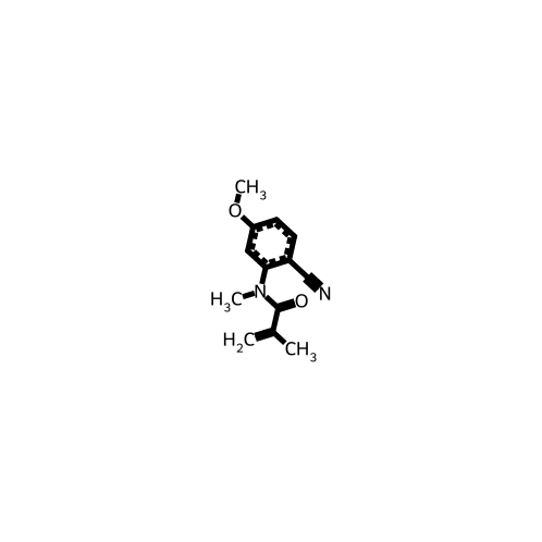 C=C(C)C(=O)N(C)c1cc(OC)ccc1C#N